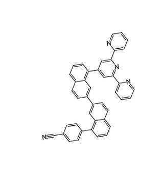 N#Cc1ccc(-c2cccc3ccc(-c4ccc5cccc(-c6cc(-c7ccccn7)nc(-c7ccccn7)c6)c5c4)cc23)cc1